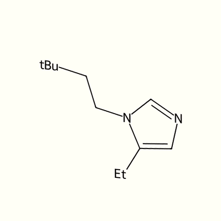 CCc1cncn1CCC(C)(C)C